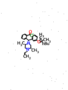 C=CCN1C[C@H](C)N([C@H](c2cccc(O[Si](C)(C)CCCC)c2)c2ccccc2C(=O)Cl)C[C@H]1C